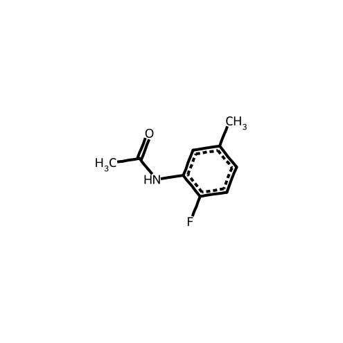 CC(=O)Nc1cc(C)ccc1F